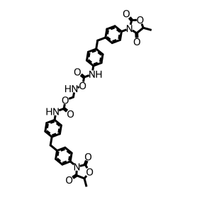 CC1OC(=O)N(c2ccc(Cc3ccc(NC(=O)OCNOC(=O)Nc4ccc(Cc5ccc(N6C(=O)OC(C)C6=O)cc5)cc4)cc3)cc2)C1=O